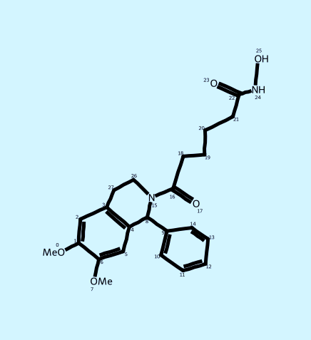 COc1cc2c(cc1OC)C(c1ccccc1)N(C(=O)CCCCC(=O)NO)CC2